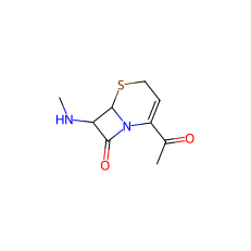 CNC1C(=O)N2C(C(C)=O)=CCSC12